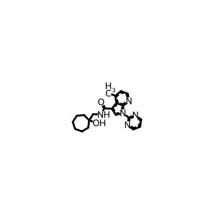 Cc1ccnc2c1c(C(=O)NCC1(O)CCCCCC1)cn2-c1ncccn1